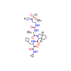 CCS(=O)(=O)N(C)C[C@@H](NC(=O)N[C@H](C(=O)N1C[C@@H]2CCC[C@@H]2[C@H]1C(=O)NC(CC1CCC1)C(=O)C(=O)NC1CC1)C(C)(C)C)C(C)(C)C